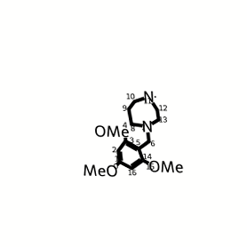 COc1cc(OC)c(CN2CCC[N]CC2)c(OC)c1